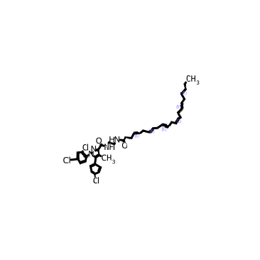 CC/C=C/C/C=C/C/C=C\C/C=C/C/C=C/C/C=C/CCC(=O)NCCNC(=O)c1nn(-c2ccc(Cl)cc2Cl)c(-c2ccc(Cl)cc2)c1C